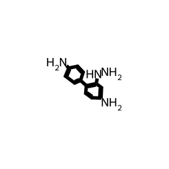 NNc1cc(N)ccc1-c1ccc(N)cc1